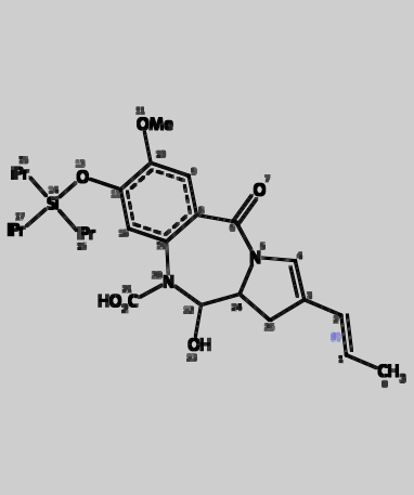 C/C=C/C1=CN2C(=O)c3cc(OC)c(O[Si](C(C)C)(C(C)C)C(C)C)cc3N(C(=O)O)C(O)C2C1